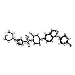 CC1CN(c2ccc3c(cnn3-c3ccc(F)cc3)c2)CCN1S(=O)(=O)c1cnn(C2CCOCC2)c1